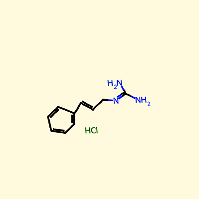 Cl.NC(N)=NCC=Cc1ccccc1